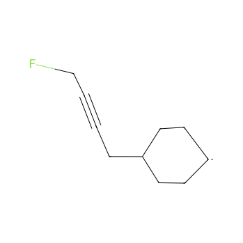 FCC#CCC1CC[CH]CC1